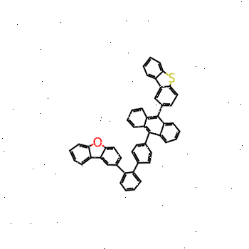 c1ccc(-c2ccc3oc4ccccc4c3c2)c(-c2ccc(-c3c4ccccc4c(-c4ccc5sc6ccccc6c5c4)c4ccccc34)cc2)c1